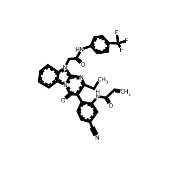 C=CC(=O)Nc1cc(C#N)ccc1-c1c(CC)nc2n(CC(=O)Nc3ccc(C(F)(F)F)cc3)c3ccccc3n2c1=O